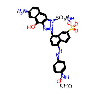 NOS(=O)(=O)c1ccc2c(N=Nc3ccc(NOC=O)cc3)ccc(N=Nc3c(NS(=O)(=O)O)cc4ccc(N)cc4c3O)c2c1